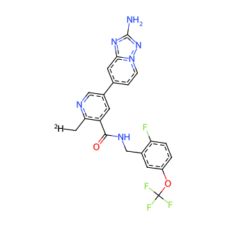 [2H]Cc1ncc(-c2ccn3nc(N)nc3c2)cc1C(=O)NCc1cc(OC(F)(F)F)ccc1F